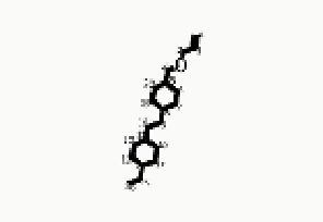 C=CCOCC1CCC(CCC2CCC(CC)CC2)CC1